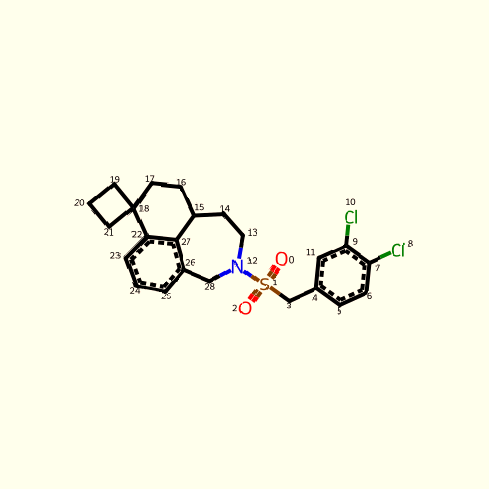 O=S(=O)(Cc1ccc(Cl)c(Cl)c1)N1CCC2CCC3(CCC3)c3cccc(c32)C1